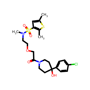 Cc1cc(S(=O)(=O)N(C)CCOCC(=O)N2CCC(O)(c3ccc(Cl)cc3)CC2)c(C)s1